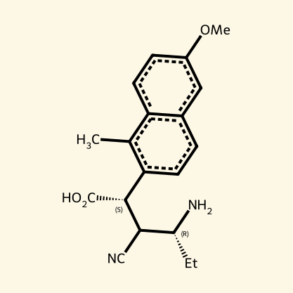 CC[C@@H](N)C(C#N)[C@H](C(=O)O)c1ccc2cc(OC)ccc2c1C